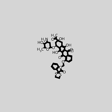 CC(=O)[C@]1(O)Cc2c(O)c3c(c(O)c2[C@@H](OC2CC(N)C(O)C(C)O2)C1)C(=O)c1c(OCOC(=O)C2(c4ccccc4)SCCS2)cccc1C3=O.Cl